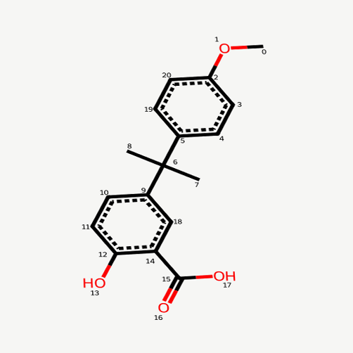 COc1ccc(C(C)(C)c2ccc(O)c(C(=O)O)c2)cc1